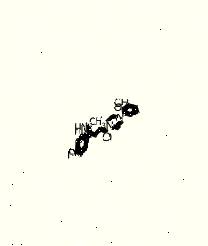 COc1ccccc1N1CCN(C(=O)CCc2c(C)[nH]c3cc(F)ccc23)CC1